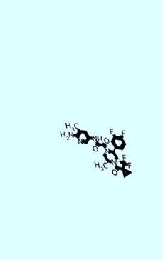 Cc1cc(NC(=O)C(=O)N2C[C@@H](C)N(C(=O)C3(C(F)(F)F)CC3)C[C@@H]2c2ccc(F)c(F)c2)cnc1N